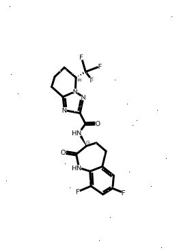 O=C(N[C@H]1CCc2cc(F)cc(F)c2NC1=O)c1nc2n(n1)[C@@H](C(F)(F)F)CCC2